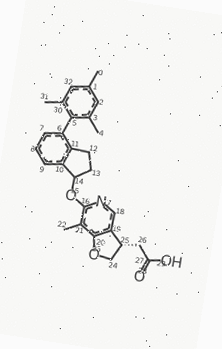 Cc1cc(C)c(-c2cccc3c2CCC3Oc2ncc3c(c2C)OC[C@H]3CC(=O)O)c(C)c1